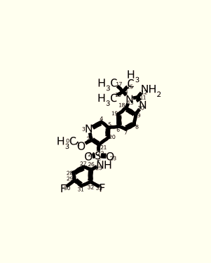 COc1ncc(-c2ccc3nc(N)n(C(C)(C)C)c3c2)cc1S(=O)(=O)Nc1ccc(F)cc1F